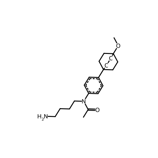 COC12CCC(c3ccc(N(CCCCN)C(C)=O)cc3)(CC1)CC2